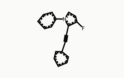 Fc1ccn(-c2ccccc2)c1C#Cc1ccccc1